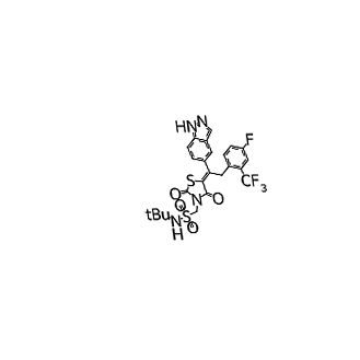 CC(C)(C)NS(=O)(=O)CN1C(=O)S/C(=C(/Cc2ccc(F)cc2C(F)(F)F)c2ccc3[nH]ncc3c2)C1=O